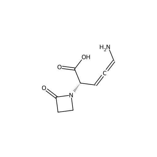 NC=C=C[C@@H](C(=O)O)N1CCC1=O